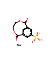 O=C1OCCOC(=O)c2cc1cc(S(=O)(=O)O)c2.[Na]